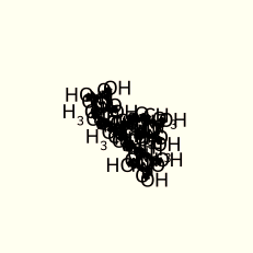 Cc1c(C(=O)N(C)c2cccc(NC(=O)C(C)N3CCN(CC(=O)O)CCN(CC(=O)O)CCN(CC(=O)O)CC3)c2)c(C)c(C(=O)N(C)c2cccc(NC(=O)C(C)N3CCN(CC(=O)O)CCN(CC(=O)O)CCN(CC(=O)O)CC3)c2)c(C)c1C(=O)N(C)c1cccc(NC(=O)C(C)N2CCN(CC(=O)O)CCN(CC(=O)O)CCN(CC(=O)O)CC2)c1